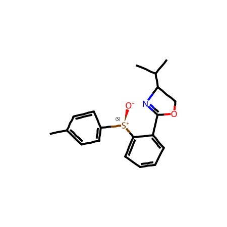 Cc1ccc([S@@+]([O-])c2ccccc2C2=NC(C(C)C)CO2)cc1